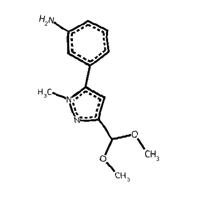 COC(OC)c1cc(-c2cccc(N)c2)n(C)n1